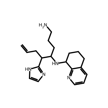 C=CCC(c1ncc[nH]1)C(CCCN)NC1CCCc2cccnc21